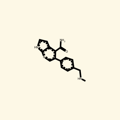 CNCc1ccc(-c2cnc3[nH]c[c]c3c2C(N)=O)cc1